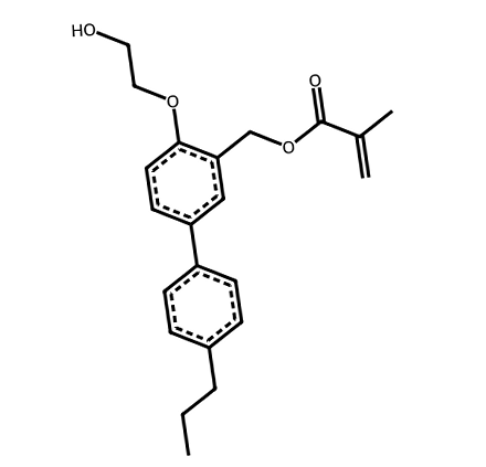 C=C(C)C(=O)OCc1cc(-c2ccc(CCC)cc2)ccc1OCCO